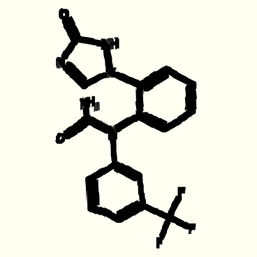 NC(=O)N(c1cccc(C(F)(F)F)c1)c1ccccc1-n1cnc(=O)[nH]1